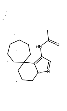 CC(=O)Nc1cnn2c1C1(CCCCCC1)CCC2